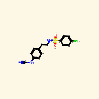 N#CNc1ccc(CCNS(=O)(=O)c2ccc(Cl)cc2)cc1